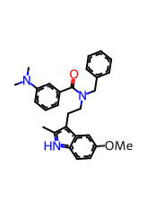 COc1ccc2[nH]c(C)c(CCN(Cc3ccccc3)C(=O)c3cccc(N(C)C)c3)c2c1